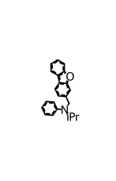 CC(C)N(Cc1ccc2c(c1)oc1ccccc12)c1ccccc1